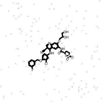 N#Cc1cnc2cc(OCC(O)CO)c(NC(=O)C3CCS(=O)(=O)S3)cc2c1Nc1ccc(OCc2cccc(F)c2)c(Cl)c1